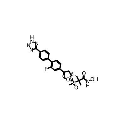 CC(C[C@H]1CC(c2ccc(-c3ccc(-c4nn[nH]n4)cc3)c(F)c2)=NO1)(C(=O)NO)S(C)(=O)=O